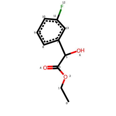 CCOC(=O)C(O)c1cccc(F)c1